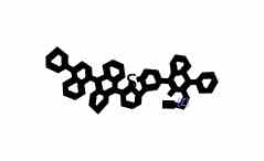 C#C/C=C\c1c(C)c(-c2ccc3sc4c(-c5c6ccccc6c(-c6ccc(-c7ccccc7)c7ccccc67)c6ccccc56)cccc4c3c2)c2ccccc2c1-c1ccccc1